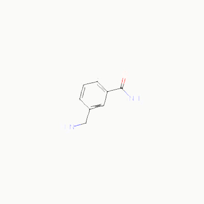 NCc1[c]ccc(C(N)=O)c1